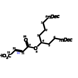 CCCCCCCCCCCCCC(CCCCCCCCCCCC)OC(=O)/C=C/C(=O)O